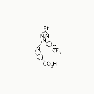 CCc1cnc(N(CCCN2CCc3ccc(CC(=O)O)cc3C2)c2ccc(OC(F)(F)F)cc2)nc1